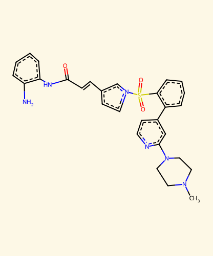 CN1CCN(c2cc(-c3ccccc3S(=O)(=O)n3ccc(/C=C/C(=O)Nc4ccccc4N)c3)ccn2)CC1